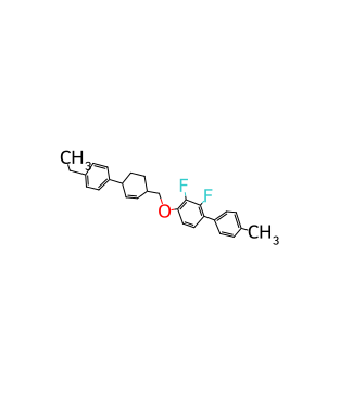 CCc1ccc(C2C=CC(COc3ccc(-c4ccc(C)cc4)c(F)c3F)CC2)cc1